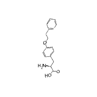 N[C@@H](Cc1ccc(OCCc2ccccc2)cc1)C(=O)O